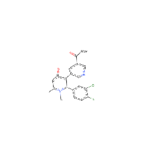 CCn1c(C)cc(=O)c(-c2cncc(C(=O)OC)c2)c1-c1ccc(Cl)c(Cl)c1